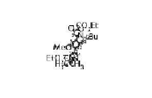 CCOC(=O)c1cn2c(cc1=O)-c1cc(OC)c(-c3cnn(C(C)(C)C(=O)OCC)c3)cc1CC2C(C)(C)C